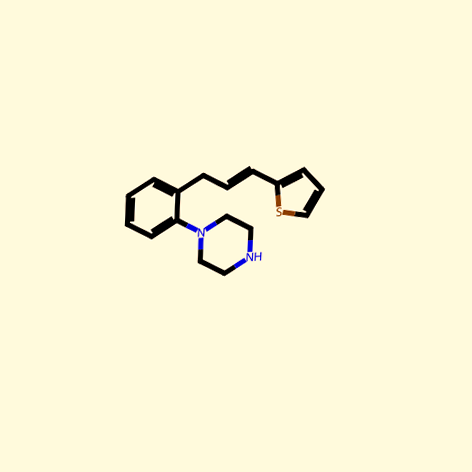 C(=Cc1cccs1)Cc1ccccc1N1CCNCC1